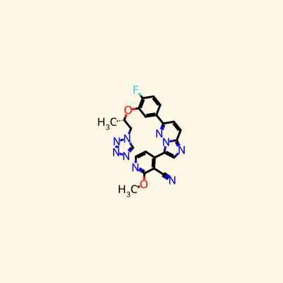 COc1nccc(-c2cnc3ccc(-c4ccc(F)c(O[C@@H](C)Cn5cnnn5)c4)nn23)c1C#N